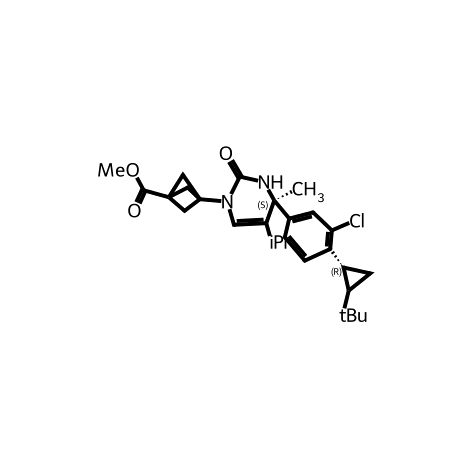 COC(=O)C12CC(N3C=C(C(C)C)[C@](C)(c4ccc([C@@H]5CC5C(C)(C)C)c(Cl)c4)NC3=O)(C1)C2